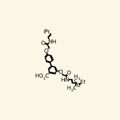 CCOC(C)(C)CCNC(=O)COc1cc(C(=O)O)cc(-c2ccc(OCC(=O)NCCC(C)C)cc2)c1